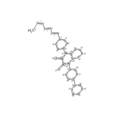 C\C=C/C=C/C=C/c1ccc(-n2c(=O)c(=O)n(-c3ccc(-c4ccccc4)cc3)c3ccccc32)cc1